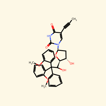 CC#Cc1cn([C@H]2C[C@H](O)[C@@H](C(O)C(c3ccccc3)(c3ccccc3OC)c3ccccc3OC)O2)c(=O)[nH]c1=O